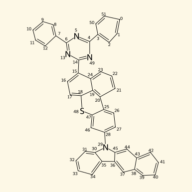 c1ccc(-c2nc(-c3ccccc3)nc(-c3ccc4c5c(cccc35)-c3ccc(-n5c6ccccc6c6cc7ccccc7cc65)cc3S4)n2)cc1